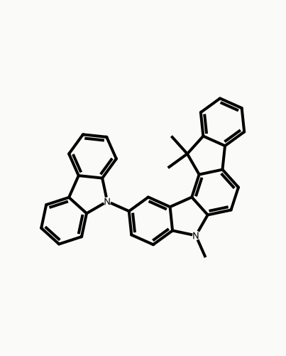 Cn1c2ccc(-n3c4ccccc4c4ccccc43)cc2c2c3c(ccc21)-c1ccccc1C3(C)C